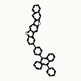 c1ccc(-c2c3ccccc3c(-c3ccc(-c4ccc5sc6cc7c(cc6c5c4)oc4cc5ccccc5cc47)cc3)c3ccccc23)cc1